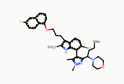 CCOC(=O)c1[nH]c2c(-c3c(C(CCNC)N4CCOCC4)nn(C)c3C)c(Cl)ccc2c1CCCOc1cccc2cc(F)ccc12